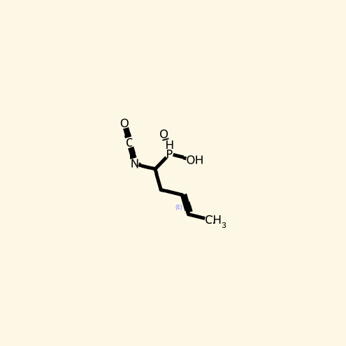 C/C=C/CC(N=C=O)[PH](=O)O